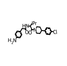 CC(C)C(NC(=O)Cc1ccc(N)cc1)C(=O)N1CCC(c2ccc(Cl)cc2)CC1